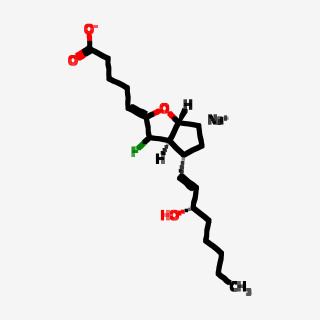 CCCCC[C@H](O)/C=C/[C@H]1CC[C@H]2O/C(=C\CCCC(=O)[O-])C(F)[C@H]12.[Na+]